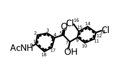 CC(=O)Nc1ccc(C(=O)C(O)c2ccc(Cl)cc2Cl)cc1